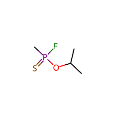 CC(C)OP(C)(F)=S